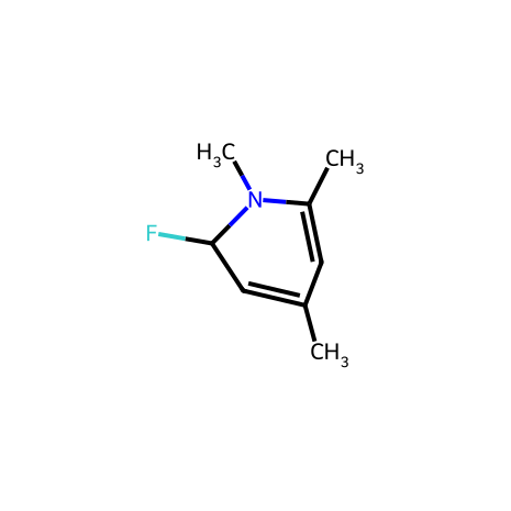 CC1=CC(F)N(C)C(C)=C1